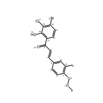 COOc1ccc(/C=C/C(=O)c2ccc(Br)c(Cl)c2O)cc1C